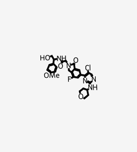 COc1cccc(C(CO)NC(=O)CN2Cc3c(F)cc(-c4nc(NC5CCOCC5)ncc4Cl)cc3C2=O)c1